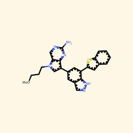 COCCCn1cc(-c2cc(-c3cc4ccccc4s3)c3[nH]ncc3c2)c2nc(N)ncc21